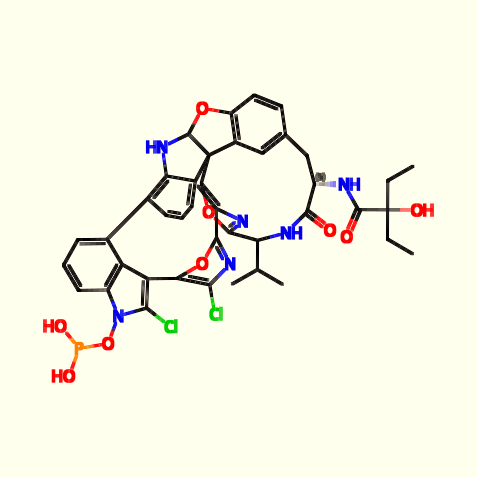 CCC(O)(CC)C(=O)N[C@H]1Cc2ccc3c(c2)C24c5cccc(c5NC2O3)-c2cccc3c2c(c(Cl)n3OP(O)O)-c2oc(nc2Cl)-c2nc(oc24)C(C(C)C)NC1=O